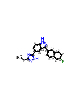 CC(C)(C)Cc1n[nH]c(-c2ccc3[nH]nc(-c4ccc5cc(F)ccc5c4)c3c2)n1